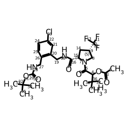 CC(=O)OC(C(=O)N1C[C@@H](C(F)(F)F)C[C@H]1C(=O)NCc1cc(Cl)ccc1CNC(=O)OC(C)(C)C)C(C)(C)C